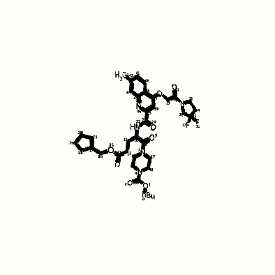 CCCCOC(=O)N1CCN(C(=O)C(CCC(=O)OCC2CCCC2)NC(=O)c2cc(OCC(=O)N3CCC(F)(F)C3)c3ccc(C)cc3n2)CC1